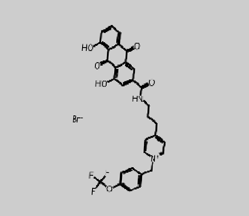 O=C(NCCCc1cc[n+](Cc2ccc(OC(F)(F)F)cc2)cc1)c1cc(O)c2c(c1)C(=O)c1cccc(O)c1C2=O.[Br-]